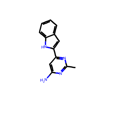 Cc1nc(N)cc(-c2cc3ccccc3[nH]2)n1